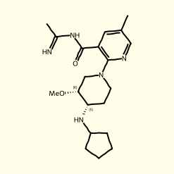 CO[C@@H]1CN(c2ncc(C)cc2C(=O)NC(C)=N)CC[C@@H]1NC1CCCC1